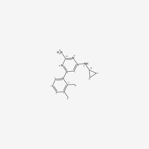 Cc1cccc(-c2cc(NC3CC3)nc(N)n2)c1C